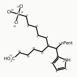 CCCCCC(c1ccc[nH]1)C(CCCCC[Si](Cl)(Cl)Cl)CCCCC(=O)O